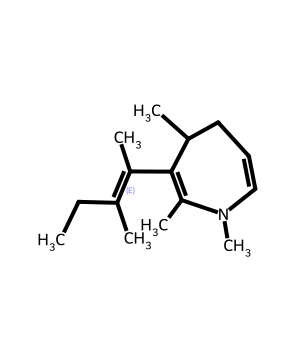 CC/C(C)=C(\C)C1=C(C)N(C)C=CCC1C